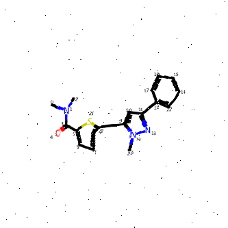 CN(C)C(=O)c1ccc(-c2cc(-c3ccccc3)nn2C)s1